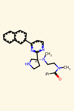 CC(C)C(=O)N(C)CCN(C)[C@]1(c2nccc(-c3ccc4ccccc4c3)n2)CCNC1